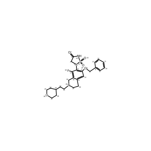 O=C1CN(c2c(OCc3ccccc3)cc3c(c2F)CN(CCC2CCOCC2)CC3)S(=O)(=O)N1